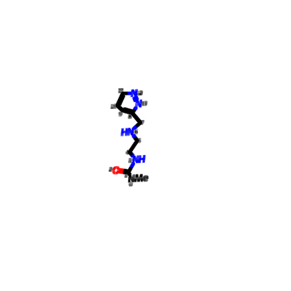 CNC(=O)NCCNCc1cccnn1